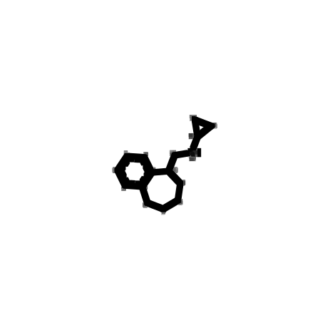 c1ccc2c(c1)CCCCC2CNC1CC1